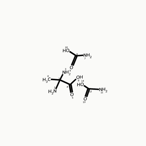 CC(N)(N)C(=O)O.NC(=O)O.NC(=O)O